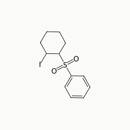 O=S(=O)(c1ccccc1)C1CCCCC1I